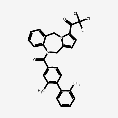 Cc1ccccc1-c1ccc(C(=O)N2Cc3ccc(C(=O)C(Cl)(Cl)Cl)n3Cc3ccccc32)cc1C